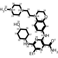 CCc1nc(C(N)=O)c(Nc2ccc3c(c2)OCCN3CCN2CCN(C)CC2)nc1N[C@H]1CC[C@H](O)CC1